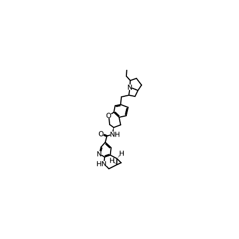 CCC1CCC2CC(Cc3ccc4c(c3)OC[C@H](NC(=O)c3cnc5c(c3)[C@H]3C[C@H]3CN5)C4)N12